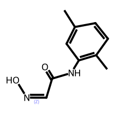 Cc1ccc(C)c(NC(=O)/C=N\O)c1